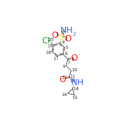 NS(=O)(=O)c1cc(C(=O)CCC(=O)NC2CC2)ccc1Cl